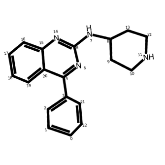 c1ccc(-c2nc(NC3CCNCC3)nc3ccccc23)cc1